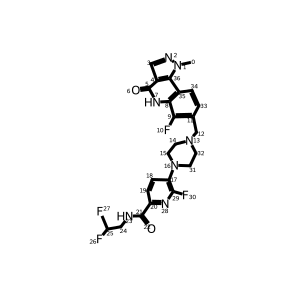 Cn1ncc2c(=O)[nH]c3c(F)c(CN4CCN(c5ccc(C(=O)NCC(F)F)nc5F)CC4)ccc3c21